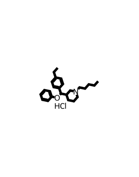 CCCCCN1CCCC(C(Oc2ccccc2)c2ccc(CC)cc2)C1.Cl